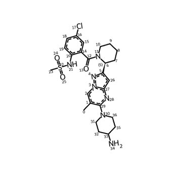 Cc1cn2nc([C@@H]3CCCCN3C(=O)c3cc(Cl)ccc3NS(C)(=O)=O)cc2nc1N1CCC(N)CC1